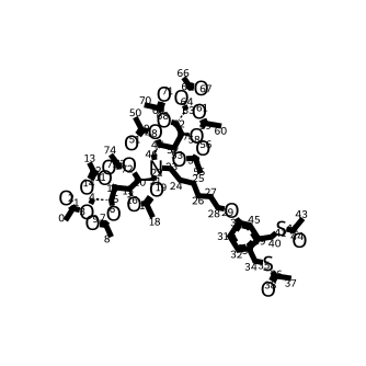 CC(=O)OC[C@@H](OC(C)=O)[C@@H](OC(C)=O)[C@H](OC(C)=O)[C@H](CN(CCCCCCOc1ccc(CSC(C)=O)c(CSC(C)=O)c1)C[C@H](OC(C)=O)[C@@H](OC(C)=O)[C@H](OC(C)=O)[C@@H](COC(C)=O)OC(C)=O)OC(C)=O